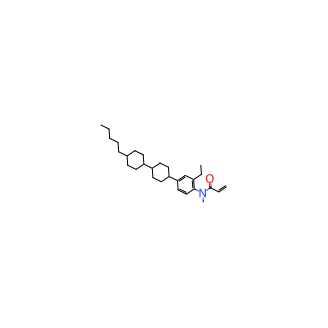 C=CC(=O)N(C)c1ccc(C2CCC(C3CCC(CCCCC)CC3)CC2)cc1CC